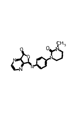 CN1CCCN(c2ccc(N=C3OC(=O)c4nccnc43)cc2)C1=O